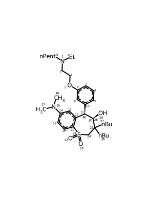 CCCCCN(CC)CCOc1cccc([C@@H]2c3cc(N(C)C)ccc3S(=O)(=O)CC(CCCC)(CCCC)[C@@H]2O)c1